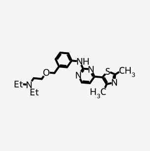 CCN(CC)CCOCc1cccc(Nc2nccc(-c3sc(C)nc3C)n2)c1